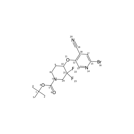 CC(C)(C)OC(=O)N1CCC(Oc2cnc(Br)cc2C#N)C(F)(F)C1